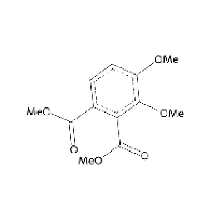 COC(=O)c1ccc(OC)c(OC)c1C(=O)OC